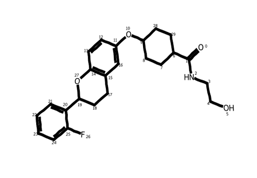 O=C(NCCO)C1CCC(Oc2ccc3c(c2)CCC(c2ccccc2F)O3)CC1